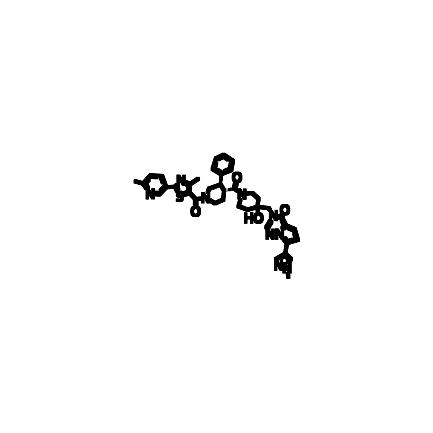 Cc1ccc(-c2nc(C)c(C(=O)N3CC[C@@H](C(=O)N4CCC(O)(Cn5cnn6c(-c7cnn(C)c7)ccc6c5=O)CC4)[C@H](c4ccccc4)C3)s2)cn1